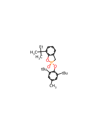 CCC(C)(C)c1cccc2c1OP(=O)(Oc1c(C(C)(C)C)cc(C)cc1C(C)(C)C)C2